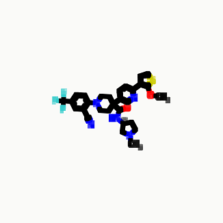 COc1sccc1-c1ccc(C2(C(=O)N[C@H]3CCN(C)C3)CCN(c3ccc(C(F)(F)F)cc3C#N)CC2)cn1